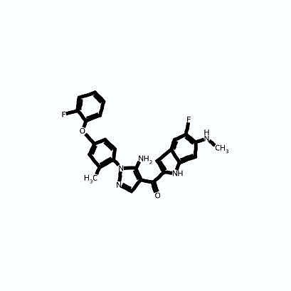 CNc1cc2[nH]c(C(=O)c3cnn(-c4ccc(Oc5ccccc5F)cc4C)c3N)cc2cc1F